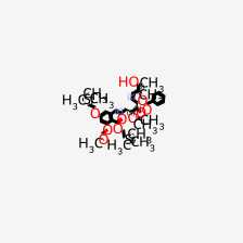 COCOc1cc(OCC[Si](C)(C)C)cc(/C=C/C[C@@H]2OC(C)(C)O[C@@H]2C(/C=C\[C@@H](C)[C@H](C)O)OC(=O)c2ccccc2)c1C(=O)OCC[Si](C)(C)C